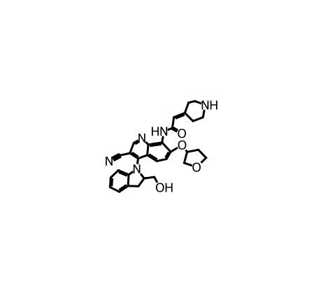 N#Cc1cnc2c(NC(=O)C=C3CCNCC3)c(OC3CCOC3)ccc2c1N1c2ccccc2CC1CO